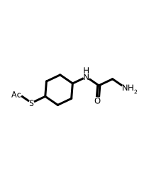 CC(=O)SC1CCC(NC(=O)CN)CC1